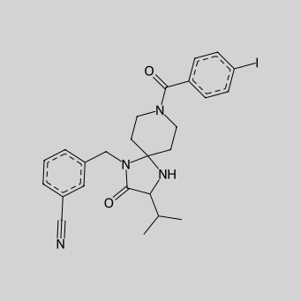 CC(C)C1NC2(CCN(C(=O)c3ccc(I)cc3)CC2)N(Cc2cccc(C#N)c2)C1=O